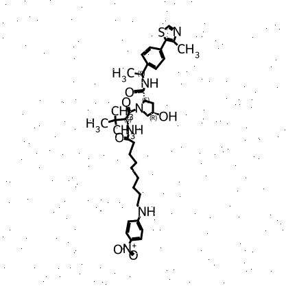 Cc1ncsc1-c1ccc([C@H](C)NC(=O)[C@@H]2C[C@@H](O)CN2C(=O)[C@@H](NC(=O)CCCCCCCCNc2ccc([N+](=O)[O-])cc2)C(C)(C)C)cc1